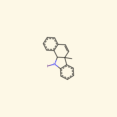 CC12C=Cc3ccccc3C1N(I)c1ccccc12